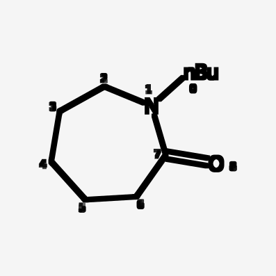 CCCCN1CCCCCC1=O